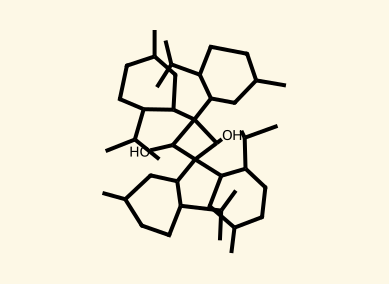 CC1CCC(C(C)C)C(C2(C3CC(C)CCC3C(C)C)C(O)C(C3CC(C)CCC3C(C)C)(C3CC(C)CCC3C(C)C)C2O)C1